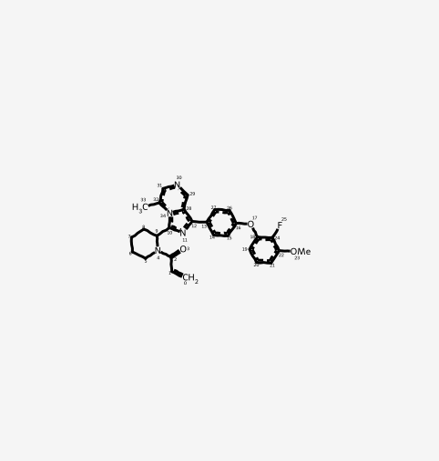 C=CC(=O)N1CCCCC1c1nc(-c2ccc(Oc3cccc(OC)c3F)cc2)c2cncc(C)n12